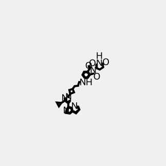 O=C1CCC(N2C(=O)c3ccc(NCCCC4CC(n5cc(-c6nccc7cccnc67)c(C6CC6)n5)C4)cc3C2=O)C(=O)N1